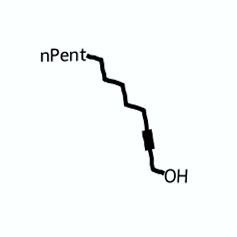 CCCCCCCCCCC#CCO